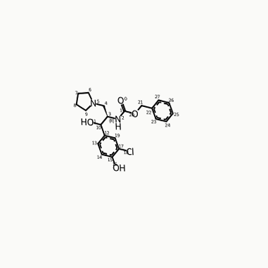 O=C(N[C@H](CN1CCCC1)C(O)c1ccc(O)c(Cl)c1)OCc1ccccc1